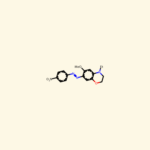 CCN1CCOc2cc(N=Nc3ccc([N+](=O)[O-])cc3)c(OC)cc21